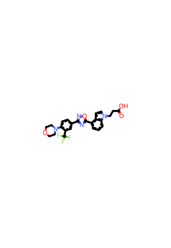 O=C(O)CCn1ccc2c(-c3nc(-c4ccc(N5CCOCC5)c(C(F)(F)F)c4)no3)cccc21